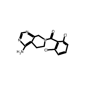 Nc1ncnc2c1CCN(C(=O)c1c(Cl)cccc1Cl)C2